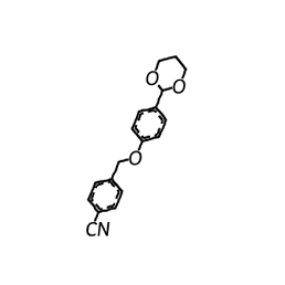 N#Cc1ccc(COc2ccc(C3OCCCO3)cc2)cc1